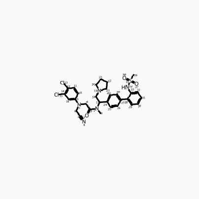 CN(C(=O)CN(CC#N)c1ccc(Cl)c(Cl)c1)C(CN1CCCC1)c1ccc(-c2ccccc2NS(C)(=O)=O)cc1